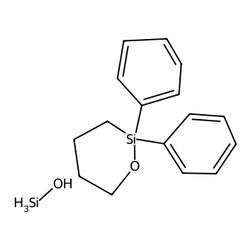 O[SiH3].c1ccc([Si]2(c3ccccc3)CCCCO2)cc1